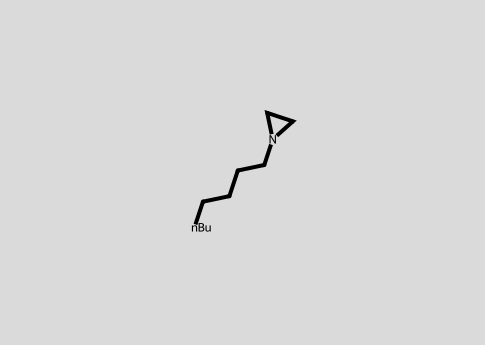 [CH2]CCCCCCCN1CC1